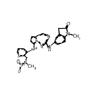 CN1C(=O)Cc2cc(Nc3ncc4ccc(Nc5cccnc5CN(C)[SH](=O)=O)n4n3)ccc21